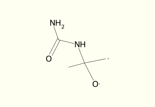 [CH2]C(C)([O])NC(N)=O